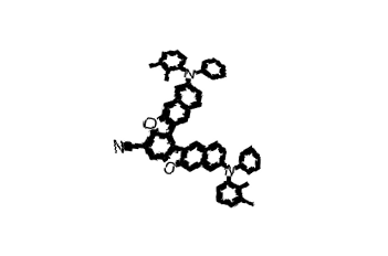 Cc1cccc(N(c2ccccc2)c2ccc3cc4c(cc3c2)oc2cc(C#N)c3oc5cc6cc(N(c7ccccc7)c7cccc(C)c7C)ccc6cc5c3c24)c1C